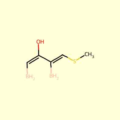 B/C=C(O)\C(B)=C\SC